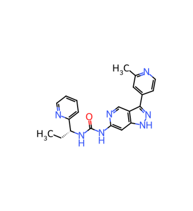 CC[C@@H](NC(=O)Nc1cc2[nH]nc(-c3ccnc(C)c3)c2cn1)c1ccccn1